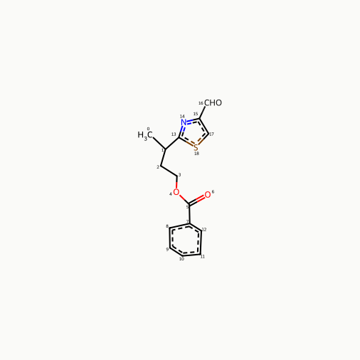 CC(CCOC(=O)c1ccccc1)c1nc(C=O)cs1